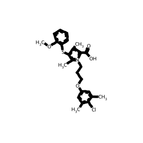 COc1ccccc1Sc1c(C)c(C(=O)O)n(CCCOc2cc(C)c(Cl)c(C)c2)c1C